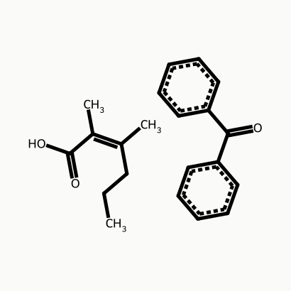 CCCC(C)=C(C)C(=O)O.O=C(c1ccccc1)c1ccccc1